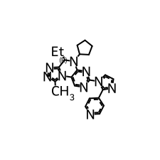 CC[C@@H]1c2nnc(C)n2-c2cnc(-n3ccnc3-c3ccncc3)nc2N1C1CCCC1